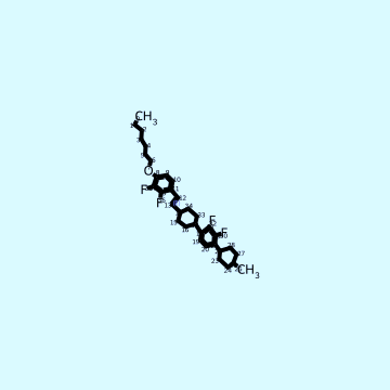 CCCCCCCOc1ccc(/C=C/C2CCC(c3ccc(C4CCC(C)CC4)c(F)c3F)CC2)c(F)c1F